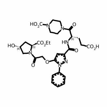 CCOC(=O)[C@@H]1C[C@@H](O)CN1C(=O)COc1cc(C(=O)N[C@@H](CCC(=O)O)C(=O)N2CCN(C(=O)O)CC2)nn1-c1ccccc1